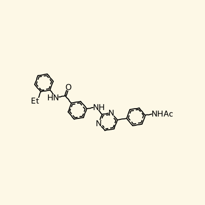 CCc1ccccc1NC(=O)c1cccc(Nc2nccc(-c3ccc(NC(C)=O)cc3)n2)c1